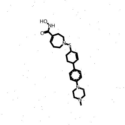 CN1CCN(c2ccc(C3C=CC(SN4CCC=C(C(=O)NO)CC4)CC3)cc2)CC1